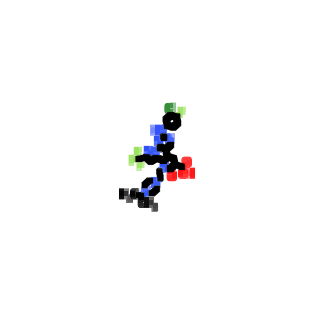 CC(C)N1CCN(CCn2c(=O)c(C(=O)O)cc3c4cnc(Nc5ccc(F)c(Cl)c5)nc4n4nc(C(F)(F)F)cc4c32)CC1